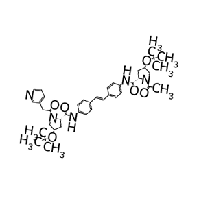 CC(=O)N1C[C@H](OC(C)(C)C)C[C@H]1C(=O)Nc1ccc(/C=C/c2ccc(NC(=O)[C@@H]3C[C@@H](OC(C)(C)C)CN3C(=O)Cc3cccnc3)cc2)cc1